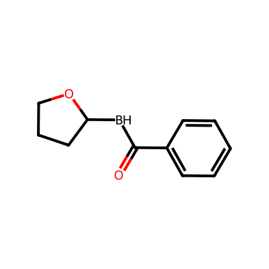 O=C(BC1CCCO1)c1ccccc1